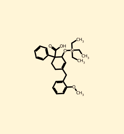 CC[Si](CC)(CC)OC1C=C(Cc2ccccc2OC)CCC1(C(=O)O)c1ccccc1